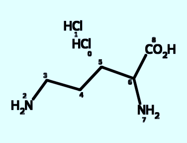 Cl.Cl.NCCCC(N)C(=O)O